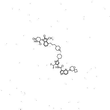 Cn1c(=O)n(C2CCC(=O)NC2=O)c2cccc(CCCC3CCN(C[C@H]4CC[C@H](n5cc(NC(=O)c6cnn7ccc(N8CCOC9(CCC9)C8)nc67)c(C(F)F)n5)CC4)CC3)c21